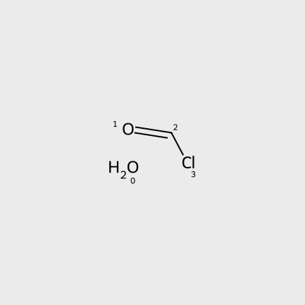 O.O=CCl